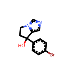 OC1(c2ccc(Br)cc2)CCn2cncc21